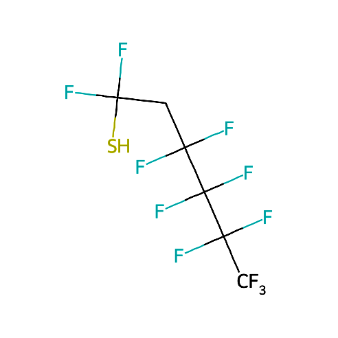 FC(F)(S)CC(F)(F)C(F)(F)C(F)(F)C(F)(F)F